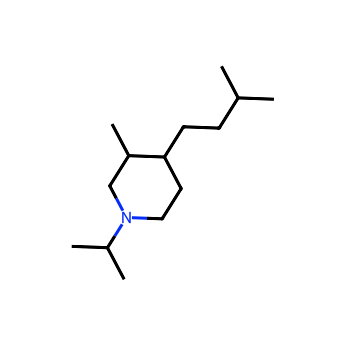 CC(C)CCC1CCN(C(C)C)CC1C